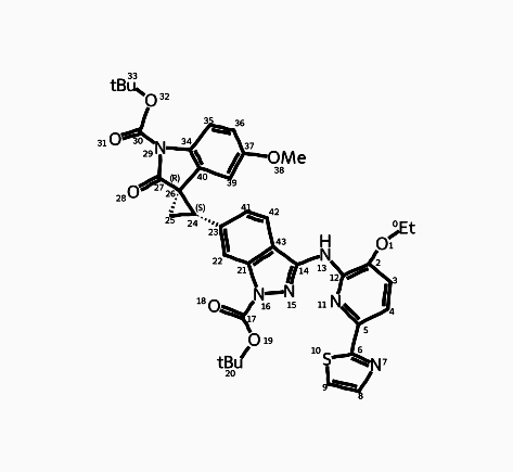 CCOc1ccc(-c2nccs2)nc1Nc1nn(C(=O)OC(C)(C)C)c2cc([C@@H]3C[C@@]34C(=O)N(C(=O)OC(C)(C)C)c3ccc(OC)cc34)ccc12